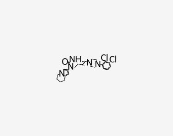 NC(=O)N(CCCCN1CCN(c2cccc(Cl)c2Cl)CC1)c1cc2n(c1)CCCC2